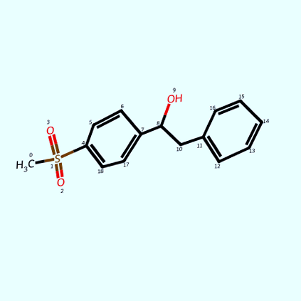 CS(=O)(=O)c1ccc(C(O)Cc2ccccc2)cc1